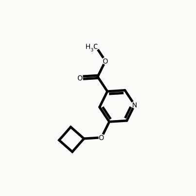 COC(=O)c1cncc(OC2CCC2)c1